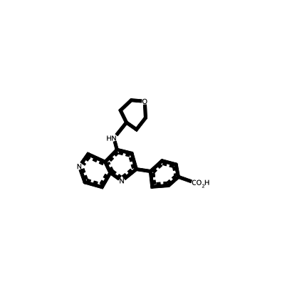 O=C(O)c1ccc(-c2cc(NC3CCOCC3)c3cnccc3n2)cc1